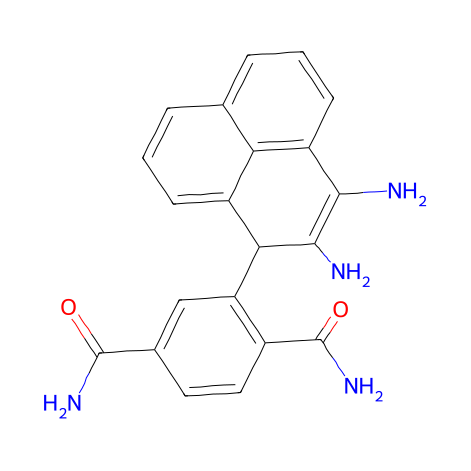 NC(=O)c1ccc(C(N)=O)c(C2C(N)=C(N)c3cccc4cccc2c34)c1